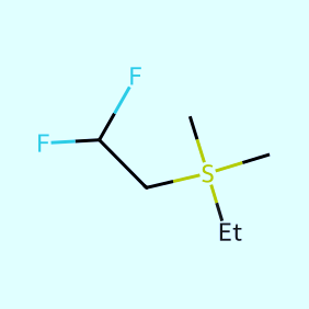 CCS(C)(C)CC(F)F